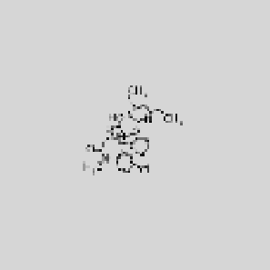 CCc1cc(CC)nc(O[C@H](C(=O)O)[C@@]2(c3ccccc3)NCC(=O)N(C)c3ccc(Cl)cc32)n1